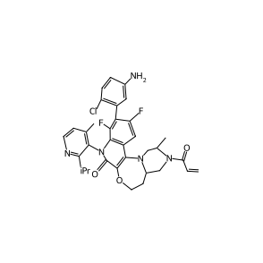 C=CC(=O)N1CC2CCOc3c(c4cc(F)c(-c5cc(N)ccc5Cl)c(F)c4n(-c4c(C)ccnc4C(C)C)c3=O)N2CC1C